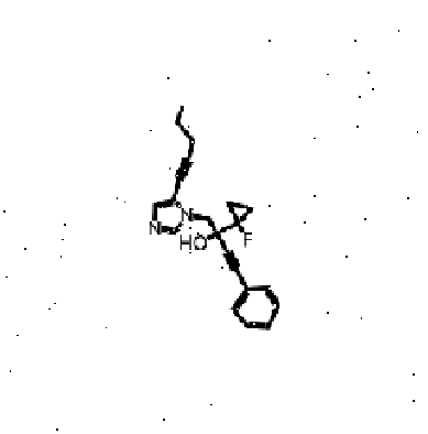 CCCC#Cc1cncn1CC(O)(C#Cc1ccccc1)C1(F)CC1